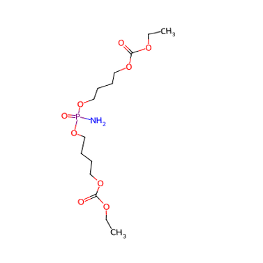 CCOC(=O)OCCCCOP(N)(=O)OCCCCOC(=O)OCC